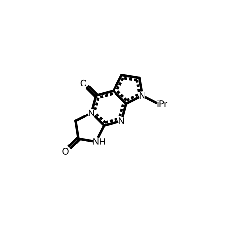 CC(C)n1ccc2c(=O)n3c(nc21)NC(=O)C3